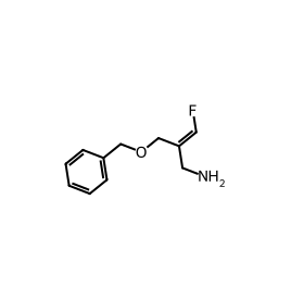 NC/C(=C/F)COCc1ccccc1